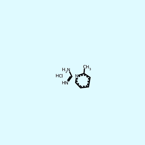 Cc1ccccn1.Cl.N=CN